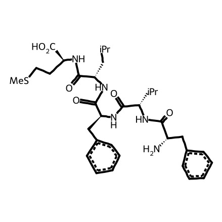 CSCC[C@H](NC(=O)[C@H](CC(C)C)NC(=O)[C@H](Cc1ccccc1)NC(=O)[C@@H](NC(=O)[C@@H](N)Cc1ccccc1)C(C)C)C(=O)O